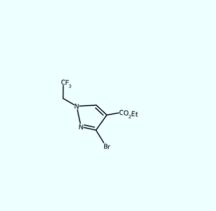 CCOC(=O)c1cn(CC(F)(F)F)nc1Br